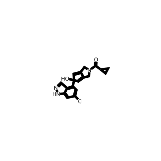 O=C(C1CC1)N1CC2=CC(O)(c3cc(Cl)cc4[nH]ncc34)C=C2C1